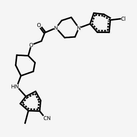 Cc1cc(NC2CCC(OCC(=O)N3CCN(c4ccc(Cl)cc4)CC3)CC2)ccc1C#N